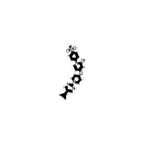 CS(=O)(=O)c1ccc(-n2ccc(OC3CCN(c4ncc(C5CC5)cn4)CC3)cc2=O)cc1